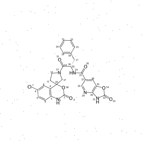 O=C1Nc2ccc(Cl)cc2C2(CCN(C(=O)[C@H](Cc3ccccc3)NC(=O)c3cnc4[nH]c(=O)oc4c3)C2)O1